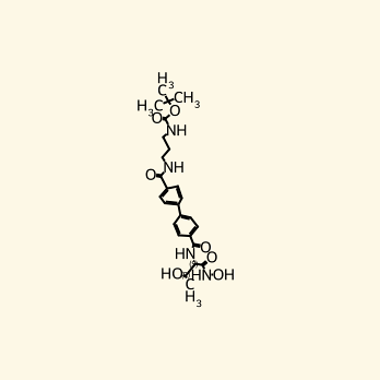 C[C@@H](O)[C@H](NC(=O)c1ccc(-c2ccc(C(=O)NCCCNC(=O)OC(C)(C)C)cc2)cc1)C(=O)NO